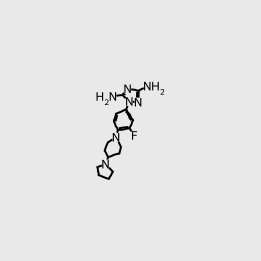 Nc1nc(N)n(-c2ccc(N3CCC(N4CCCC4)CC3)c(F)c2)n1